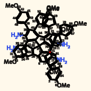 COc1ccc(-c2cc3c(c(-c4ccc(OC)cc4)c2N)C2(c4cc(N)ccc4-3)c3c(-c4ccc(OC)cc4)c(N)c(-c4ccc(OC)cc4)c(-c4ccc(OC)cc4)c3-c3c(-c4ccc(OC)cc4)c(-c4ccc(OC)cc4)c(N)c(-c4ccc(OC)cc4)c32)cc1